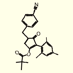 Cc1cc(C)c(C2=C(OC(=O)C(C)(C)C)CC(Cc3ccc(C#N)cc3)C2=O)c(C)c1